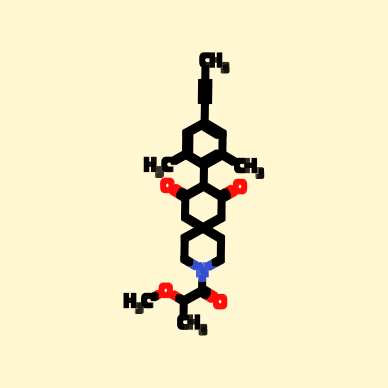 CC#Cc1cc(C)c(C2C(=O)CC3(CCN(C(=O)C(C)OC)CC3)CC2=O)c(C)c1